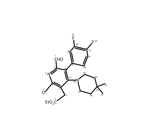 CCOC(=O)Cc1c(Cl)nc(C=O)c(-c2ccc(F)c(F)c2)c1N1CCC(C)(C)CC1